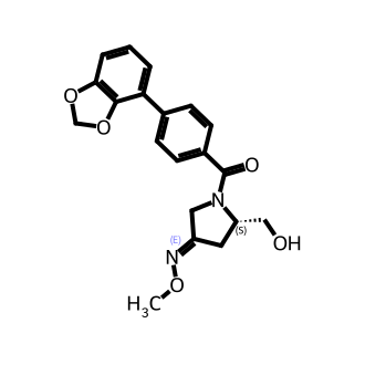 CO/N=C1\C[C@@H](CO)N(C(=O)c2ccc(-c3cccc4c3OCO4)cc2)C1